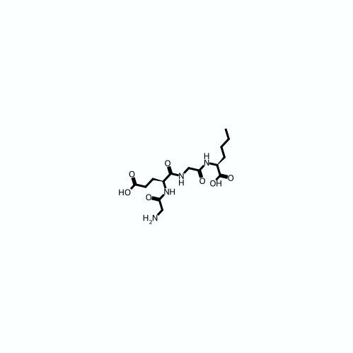 CCCC[C@H](NC(=O)CNC(=O)[C@H](CCC(=O)O)NC(=O)CN)C(=O)O